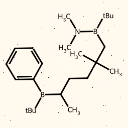 CC(CCC(C)(C)CB(N(C)C)C(C)(C)C)B(c1ccccc1)C(C)(C)C